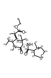 CCOC(=O)/C(C)=C/C(C(C)C)N(C)C(=O)[C@@H](NC(=O)C1CCCCCN1C)C(C)(C)C